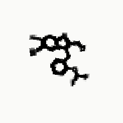 Fc1cc2nc(CCl)c(Cc3ccccc3OC(F)F)n2cc1Br